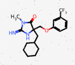 CN1C(=N)NC(COc2cccc(C(F)(F)F)c2)(CC2CCCCC2)C1=O